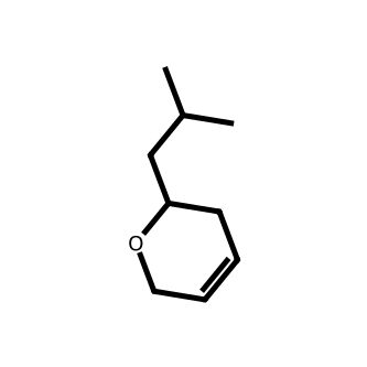 CC(C)CC1CC=CCO1